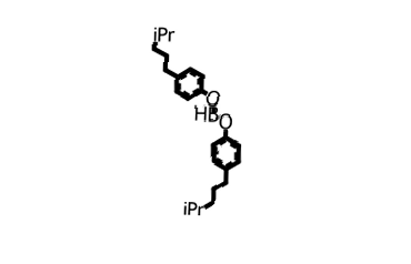 CC(C)CCCc1ccc(OBOc2ccc(CCCC(C)C)cc2)cc1